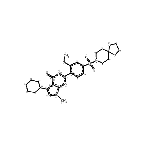 COc1cc(S(=O)(=O)N2CCC3(CC2)OCCO3)ccc1-c1nc2c(c(C3CCCCC3)nn2C)c(=O)[nH]1